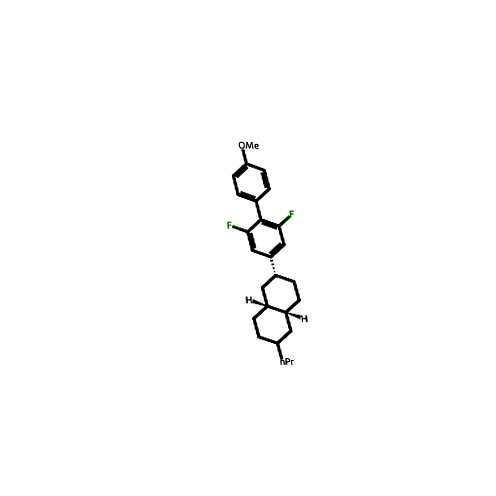 CCCC1CC[C@@H]2C[C@H](c3cc(F)c(-c4ccc(OC)cc4)c(F)c3)CC[C@@H]2C1